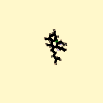 C=C/C=C(\C=C/CC)C(/CCCC(=C)C)=C(/C)c1c(C)cc(C)cc1F